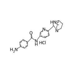 Cl.Nc1ccc(C(=O)Nc2ccc(C3CNC4CCN3CC4)nc2)cc1